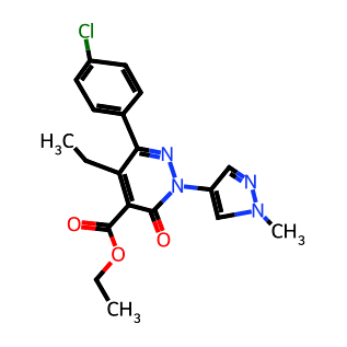 CCOC(=O)c1c(CC)c(-c2ccc(Cl)cc2)nn(-c2cnn(C)c2)c1=O